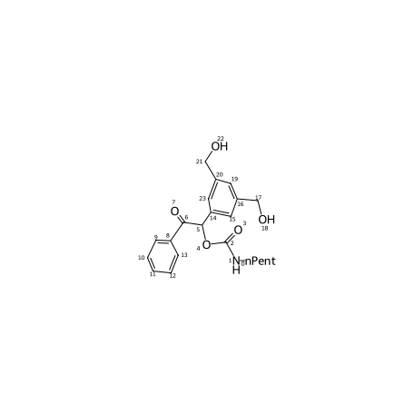 CCCCCNC(=O)OC(C(=O)c1ccccc1)c1cc(CO)cc(CO)c1